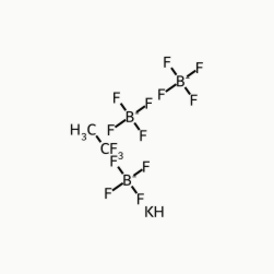 CC(F)(F)F.F[B-](F)(F)F.F[B-](F)(F)F.F[B-](F)(F)F.[KH]